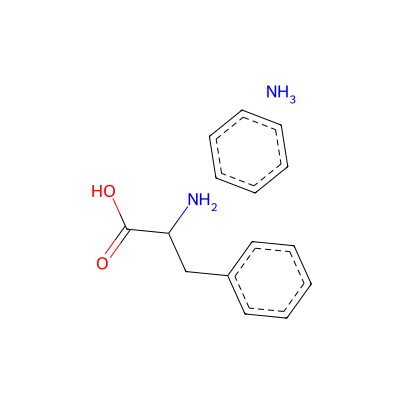 N.NC(Cc1ccccc1)C(=O)O.c1ccccc1